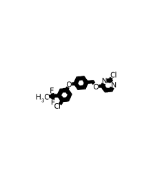 CC(F)(F)c1cc(Oc2ccc(COc3ccnc(Cl)n3)cc2)ccc1Cl